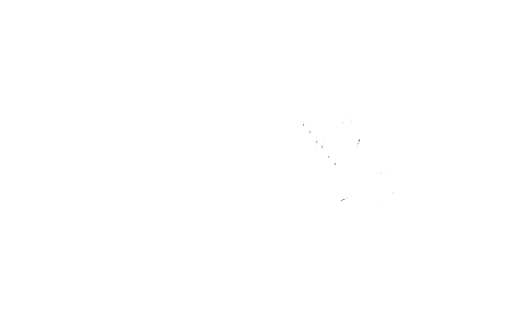 CCCCCCCCCCCCCC[C@@H]1OC(C)(C)O[C@H]1[C@H](CO)N=[N+]=[N-]